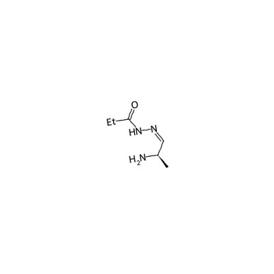 CCC(=O)N/N=C\[C@@H](C)N